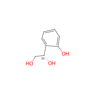 OC[C@@H](O)c1ccccc1O